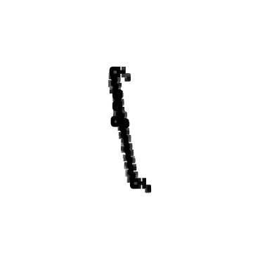 CCCCCCCCCCCCCCCCOC(=O)CCCOCCOCCCCCC